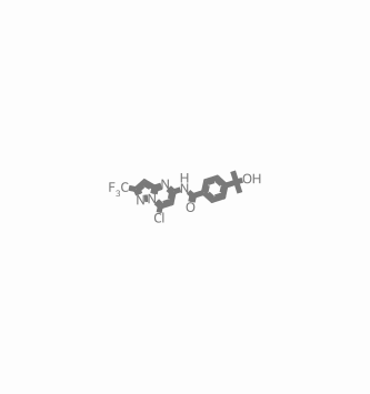 CC(C)(O)c1ccc(C(=O)Nc2cc(Cl)n3nc(C(F)(F)F)cc3n2)cc1